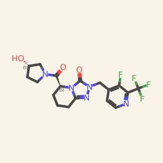 O=C([C@@H]1CCCc2nn(Cc3ccnc(C(F)(F)F)c3F)c(=O)n21)N1CC[C@H](O)C1